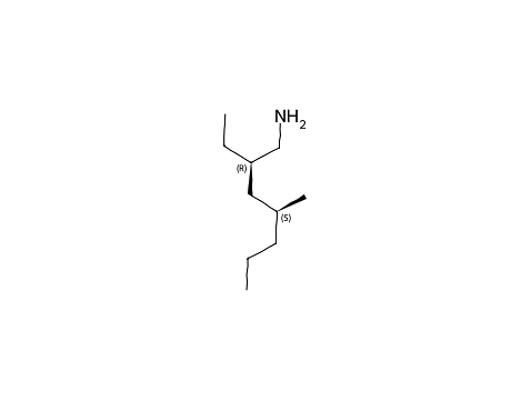 CCC[C@H](C)C[C@@H](CC)CN